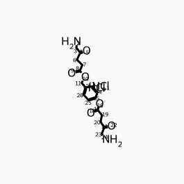 Cl.Cl.NCC(=O)CCC(=O)OCc1ccc(OC(=O)CCC(=O)CN)cc1